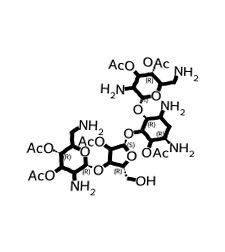 CC(=O)OC1C(O[C@H]2OC(CN)[C@@H](OC(C)=O)C(OC(C)=O)C2N)[C@@H](CO)O[C@H]1OC1C(OC(C)=O)[C@H](N)CC(N)[C@H]1O[C@H]1OC(CN)[C@@H](OC(C)=O)C(OC(C)=O)C1N